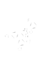 Fc1cccc(Oc2ncc(-c3ccc(Cl)cc3)c(-c3ccc(Cl)cc3Cl)n2)c1